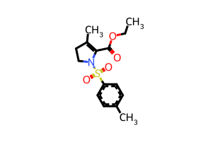 CCOC(=O)C1=C(C)CCN1S(=O)(=O)c1ccc(C)cc1